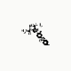 Cc1cc(S(=O)(=O)c2ccc(F)cc2)ccc1-n1cc(NC(N)=O)c(C(N)=O)n1